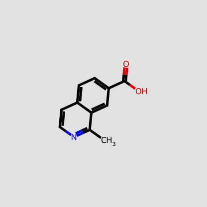 Cc1nccc2ccc(C(=O)O)cc12